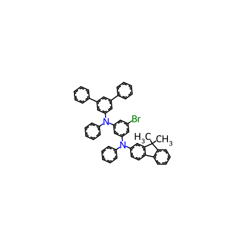 CC1(C)c2ccccc2-c2ccc(N(c3ccccc3)c3cc(Br)cc(N(c4ccccc4)c4cc(-c5ccccc5)cc(-c5ccccc5)c4)c3)cc21